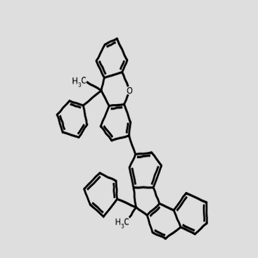 CC1(c2ccccc2)c2ccccc2Oc2cc(-c3ccc4c(c3)C(C)(c3ccccc3)c3ccc5ccccc5c3-4)ccc21